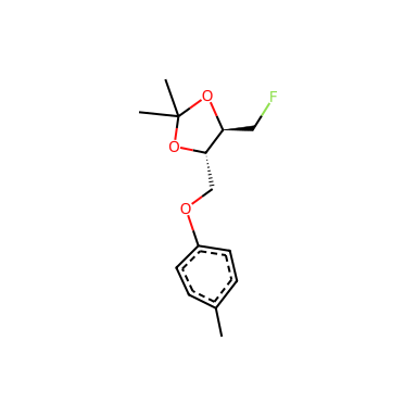 Cc1ccc(OC[C@@H]2OC(C)(C)O[C@H]2CF)cc1